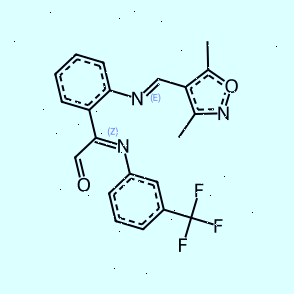 Cc1noc(C)c1/C=N/c1ccccc1/C(C=O)=N/c1cccc(C(F)(F)F)c1